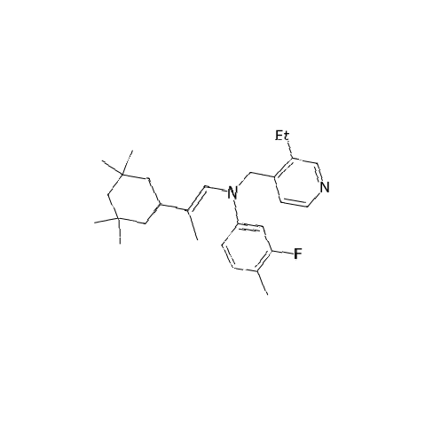 CCc1cnccc1CN(/C=C(\C)C1CC(C)(C)CC(C)(C)C1)c1ccc(C)c(F)c1